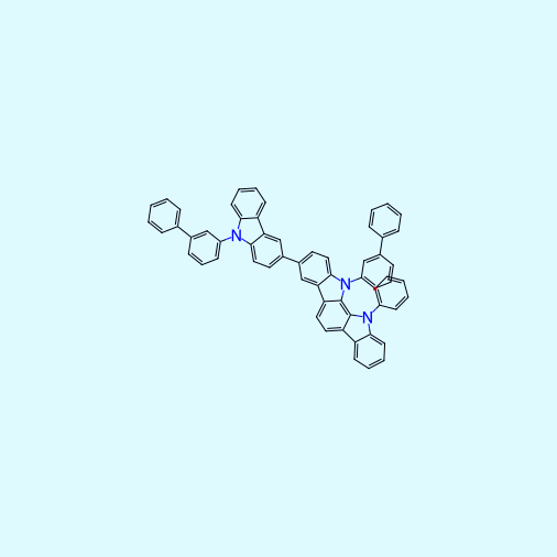 c1ccc(-c2cccc(-n3c4ccccc4c4cc(-c5ccc6c(c5)c5ccc7c8ccccc8n(-c8ccccc8)c7c5n6-c5cccc(-c6ccccc6)c5)ccc43)c2)cc1